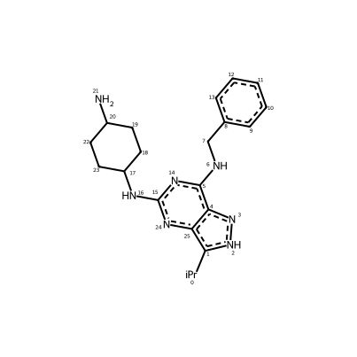 CC(C)c1[nH]nc2c(NCc3ccccc3)nc(NC3CCC(N)CC3)nc12